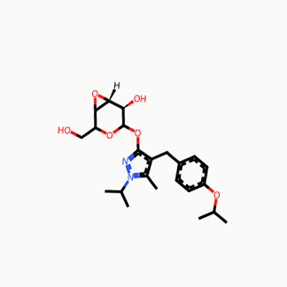 Cc1c(Cc2ccc(OC(C)C)cc2)c(OC2OC(CO)C3O[C@@H]3[C@H]2O)nn1C(C)C